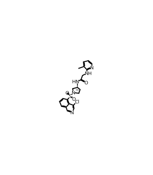 Cc1cccnc1NCC(=O)N[C@H]1CCN(S(=O)(=O)c2cccc3cncc(Cl)c23)C1